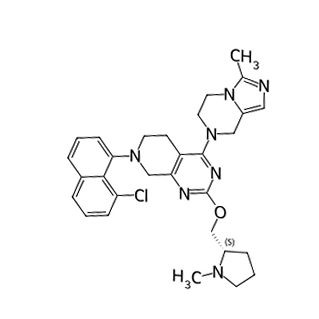 Cc1ncc2n1CCN(c1nc(OC[C@@H]3CCCN3C)nc3c1CCN(c1cccc4cccc(Cl)c14)C3)C2